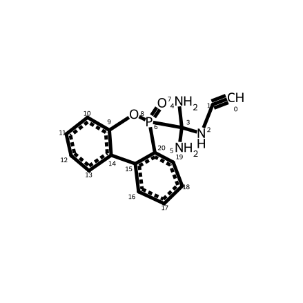 C#CNC(N)(N)P1(=O)Oc2ccccc2-c2ccccc21